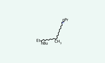 [CH2]CC/C=C/CCCCCCCCCC(C)CCCCCCCC(CC)CCC[CH2]